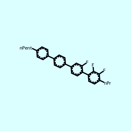 CCCCCc1ccc(-c2ccc(-c3ccc(-c4ccc(CCC)c(F)c4F)c(F)c3)cc2)cc1